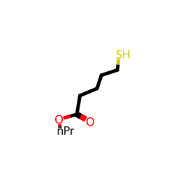 CCCOC(=O)CCCCS